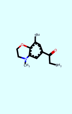 BCC(=O)c1cc2c(c(C(C)(C)C)c1)OCCN2C